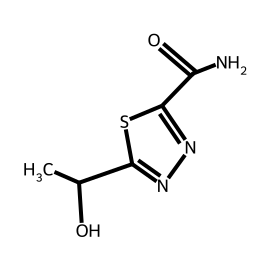 CC(O)c1nnc(C(N)=O)s1